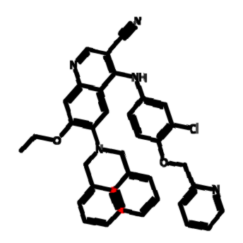 CCOc1cc2ncc(C#N)c(Nc3ccc(OCc4ccccn4)c(Cl)c3)c2cc1N(Cc1ccccc1)Cc1ccccc1